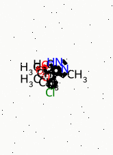 COC(=O)[C@@H](OC(C)(C)C)c1c(C)c2c3c(cc(C)n3CCN2)c1-c1ccc(Cl)cc1